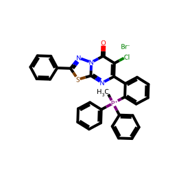 C[P+](c1ccccc1)(c1ccccc1)c1ccccc1-c1nc2sc(-c3ccccc3)nn2c(=O)c1Cl.[Br-]